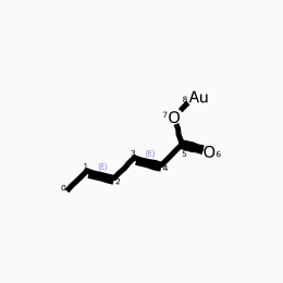 C/C=C/C=C/C(=O)[O][Au]